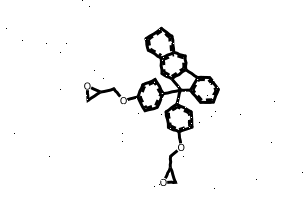 c1ccc2c(c1)-c1cc3ccccc3cc1C2(c1ccc(OCC2CO2)cc1)c1ccc(OCC2CO2)cc1